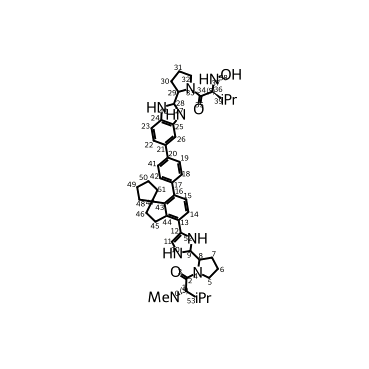 CN[C@H](C(=O)N1CCCC1C1NC=C(c2ccc(-c3ccc(-c4ccc5c(c4)NC(C4CCCN4C(=O)[C@@H](NO)C(C)C)N5)cc3)c3c2CCC32CCCC2)N1)C(C)C